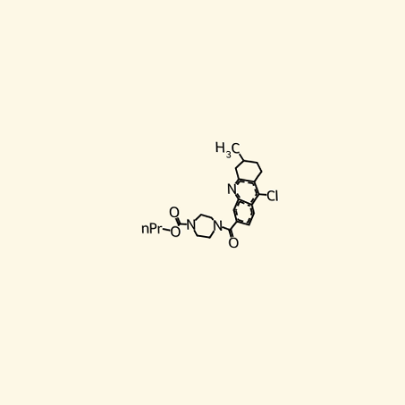 CCCOC(=O)N1CCN(C(=O)c2ccc3c(Cl)c4c(nc3c2)CC(C)CC4)CC1